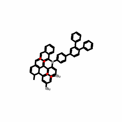 CC1C=Cc2cccc(-c3ccccc3N(c3ccc(-c4ccc(-c5ccccc5)c(-c5ccccc5)c4)cc3)c3cccc4ccccc34)c2C1c1cc(C(C)(C)C)cc(C(C)(C)C)c1